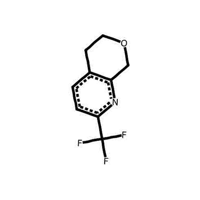 FC(F)(F)c1ccc2c(n1)COCC2